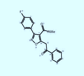 CNC(=O)c1c(-c2ccc(F)cc2)noc1CC(=O)c1ccccc1